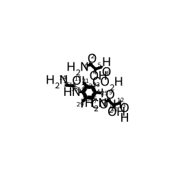 NC(=O)C(O)CO.NC(=O)C(O)CO.NCC(=O)Nc1c(I)c(C(=O)O)c(I)c(C(=O)O)c1I